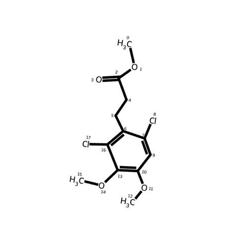 COC(=O)CCc1c(Cl)cc(OC)c(OC)c1Cl